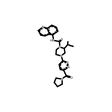 CC(C)C1CN(c2ccc(C(=O)N3CCCC3)nn2)CCN1C(=S)Nc1cccc2ncccc12